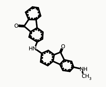 CNc1ccc2c(c1)C(=O)c1cc(Nc3ccc4c(c3)C(=O)c3ccccc3-4)ccc1-2